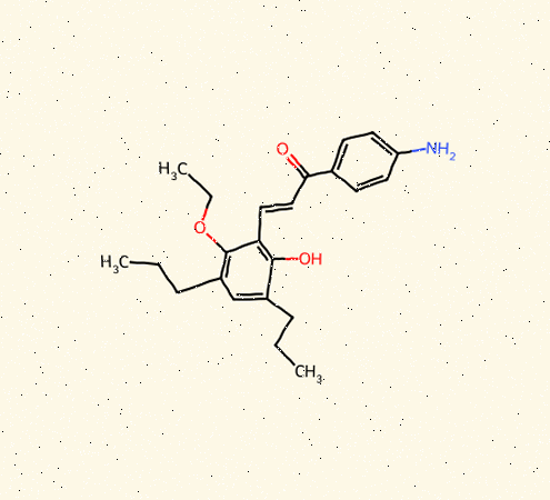 CCCc1cc(CCC)c(OCC)c(C=CC(=O)c2ccc(N)cc2)c1O